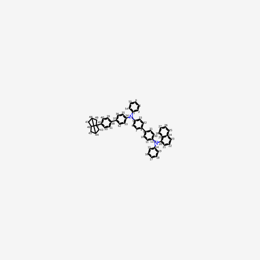 c1ccc(N(c2ccc(-c3ccc(N(c4ccccc4)c4cccc5ccccc45)cc3)cc2)c2ccc(-c3ccc(C45CC6CC4CC6C5)cc3)cc2)cc1